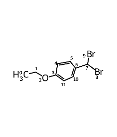 CCOc1ccc(C(Br)Br)cc1